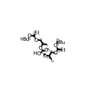 CCCCOC(CC)OCC(C)OP(=O)(O)OC(C)COC(CC)OCCCC